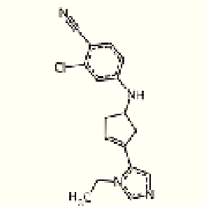 CCn1cncc1C1=CCC(Nc2ccc(C#N)c(Cl)c2)C1